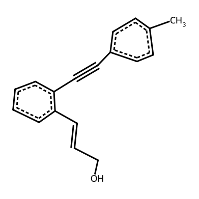 Cc1ccc(C#Cc2ccccc2C=CCO)cc1